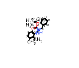 Cc1cccc(NN(Cc2ccccc2)C(=O)OC(C)(C)C)c1C